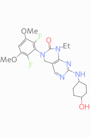 CCN1C(=O)N(c2c(F)c(OC)cc(OC)c2F)Cc2cnc(NC3CCC(O)CC3)nc21